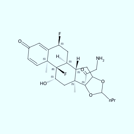 CCCC1OC2C[C@H]3[C@@H]4C[C@H](F)C5=CC(=O)C=C[C@]5(C)[C@@]4(F)[C@@H](O)C[C@]3(C)[C@]2(C(=O)CN)O1